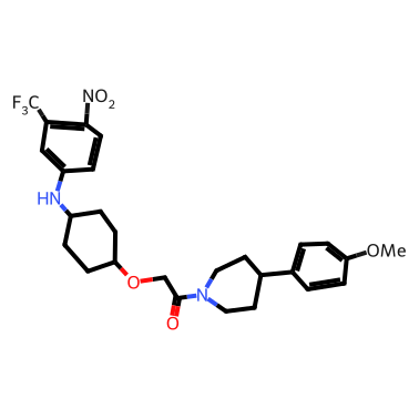 COc1ccc(C2CCN(C(=O)COC3CCC(Nc4ccc([N+](=O)[O-])c(C(F)(F)F)c4)CC3)CC2)cc1